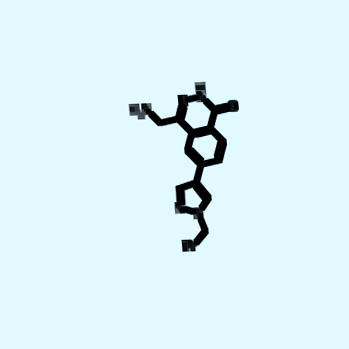 CC(C)Cn1cc(-c2ccc3c(=O)[nH]nc(CN)c3c2)cn1